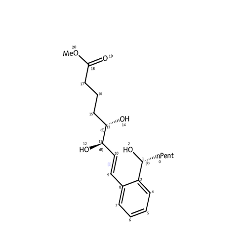 CCCCC[C@@H](O)c1ccccc1/C=C/[C@@H](O)[C@@H](O)CCCC(=O)OC